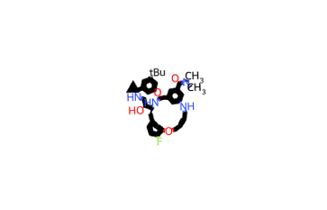 CN(C)C(=O)c1cc2cc(c1)C(=O)N[C@H]([C@H](O)CNC1(c3cccc(C(C)(C)C)c3)CC1)Cc1ccc(F)c(c1)OCC=CCN2